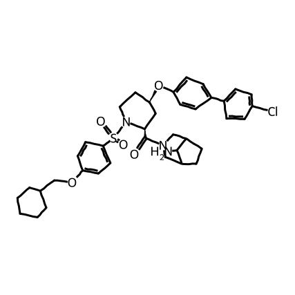 NC1C2CCC1CN(C(=O)[C@@H]1C[C@H](Oc3ccc(-c4ccc(Cl)cc4)cc3)CCN1S(=O)(=O)c1ccc(OCC3CCCCC3)cc1)C2